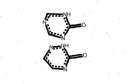 O=c1nccn[nH]1.O=c1ncnc[nH]1